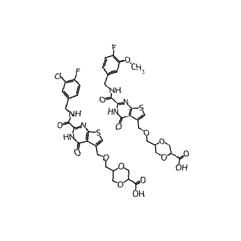 COc1cc(CNC(=O)c2nc3scc(COCC4COC(C(=O)O)CO4)c3c(=O)[nH]2)ccc1F.O=C(NCc1ccc(F)c(Cl)c1)c1nc2scc(COCC3COC(C(=O)O)CO3)c2c(=O)[nH]1